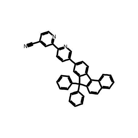 N#Cc1ccnc(-c2ccc(-c3ccc4c(c3)C(c3ccccc3)(c3ccccc3)c3ccc5ccccc5c3-4)cn2)c1